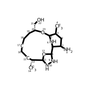 NC1CC(C(F)(F)F)C2NC1C1NNC(O1)[C@H](C(F)(F)F)CCCCC[C@H](CO)O2